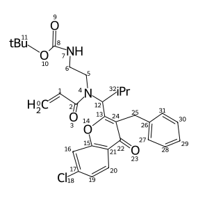 C=CC(=O)N(CCNC(=O)OC(C)(C)C)C(c1oc2cc(Cl)ccc2c(=O)c1Cc1ccccc1)C(C)C